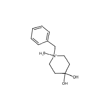 B[N+]1(Cc2ccccc2)CCC(O)(O)CC1